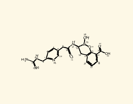 N=C(N)NCc1ccc(CC(=O)NC2Cc3cccc(C(=O)O)c3OB2O)cn1